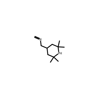 C=NCC1CC(C)(C)PC(C)(C)C1